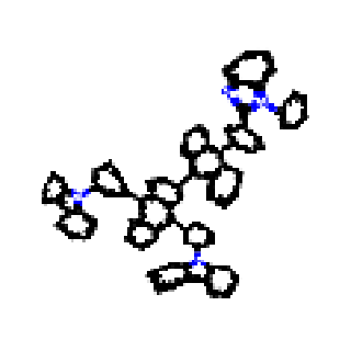 c1ccc(-n2c(-c3cccc(-c4c5ccccc5c(-c5ccc6c(-c7cccc(-n8c9ccccc9c9ccccc98)c7)c7ccccc7c(-c7cccc(-n8c9ccccc9c9ccccc98)c7)c6c5)c5ccccc45)c3)nc3ccccc32)cc1